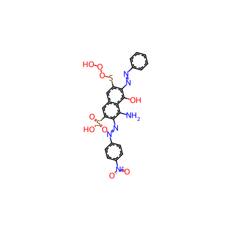 Nc1c(/N=N/c2ccc([N+](=O)[O-])cc2)c(S(=O)(=O)O)cc2cc(SOOO)c(/N=N/c3ccccc3)c(O)c12